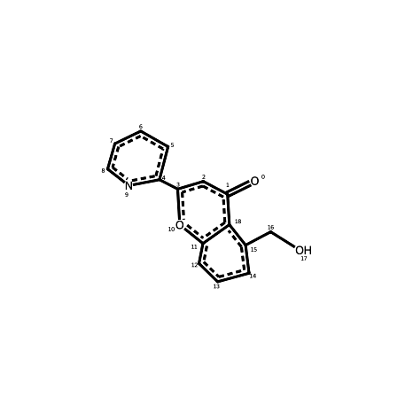 O=c1cc(-c2ccccn2)oc2cccc(CO)c12